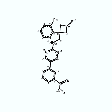 NC(=O)c1cccc(-c2cnc(NC[C@]3(c4ncccc4F)C[C@H](F)C3)nc2)c1